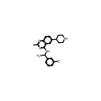 Cc1nc(NC(N)c2cccc(Cl)c2)c2cc(C3CCNCC3)ccc2n1